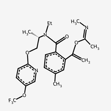 C=C(O/C(C)=N\C)c1cc(C)ccc1C(=O)N(CC)[C@@H](C)COc1ccc(OC(F)(F)F)cn1